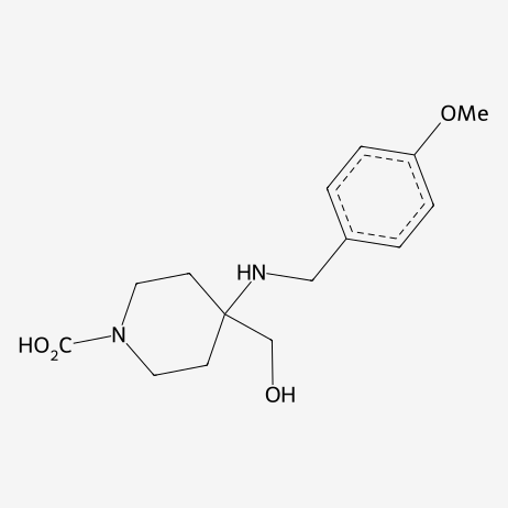 COc1ccc(CNC2(CO)CCN(C(=O)O)CC2)cc1